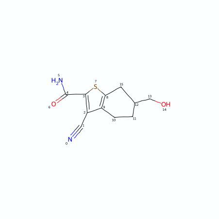 N#Cc1c(C(N)=O)sc2c1CCC(CO)C2